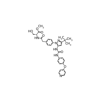 COC(=O)[C@H](CO)NC(=O)Cc1ccc(-n2nc(C(C)(C)C)cc2NC(=O)Nc2ccc(Oc3ccncc3)cc2)cc1